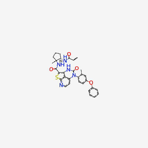 C=CC(=O)N[C@H]1CCCC1(C)NC(=O)c1sc2nccc3c2c1NC(=O)N3c1ccc(Oc2ccccc2)cc1C